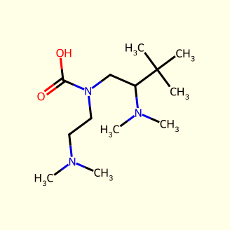 CN(C)CCN(CC(N(C)C)C(C)(C)C)C(=O)O